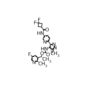 Cc1ncc(F)cc1[C@@H](C)OC(=O)Nc1c(-c2ccc(NC(=O)C3CC(F)(F)C3)cn2)nnn1C